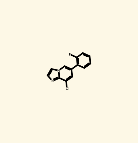 Fc1ccc[c]c1-c1cc(Cl)c2nccn2c1